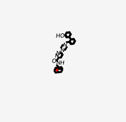 O=C(NCC12CC3CC(CC(C3)C1)C2)c1ccc(N2CCN(Cc3ccccc3-c3cccc(O)c3)CC2)nn1